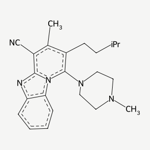 Cc1c(CCC(C)C)c(N2CCN(C)CC2)n2c(nc3ccccc32)c1C#N